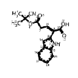 CC(C)(C)OC(=O)C/C=C(/C(=O)O)c1cc2ccccc2[nH]1